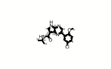 COc1ccc(Cl)cc1-c1cnc2[nH]cc(C(=O)NC(C)C)c2n1